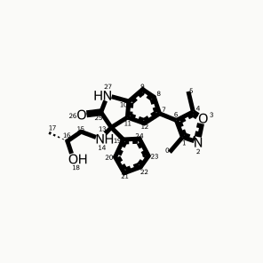 Cc1noc(C)c1-c1ccc2c(c1)C(NC[C@@H](C)O)(c1ccccc1)C(=O)N2